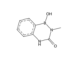 CN1B(O)c2ccccc2NC1=O